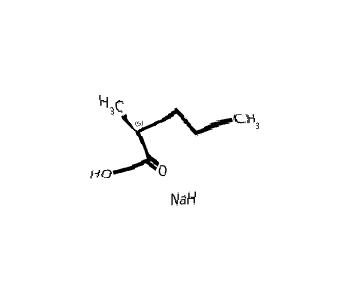 CCC[C@H](C)C(=O)O.[NaH]